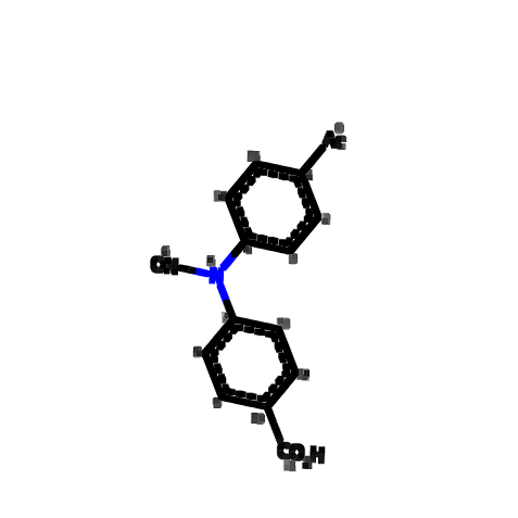 CC(=O)c1ccc(N(N=O)c2ccc(C(=O)O)cc2)cc1